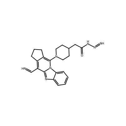 N=Cc1c2c(c(N3CCC(CC(=O)NN=N)CC3)n3c1nc1ccccc13)CCC2